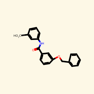 O=C(O)c1cccc(NC(=O)c2cccc(OCc3ccccc3)c2)c1